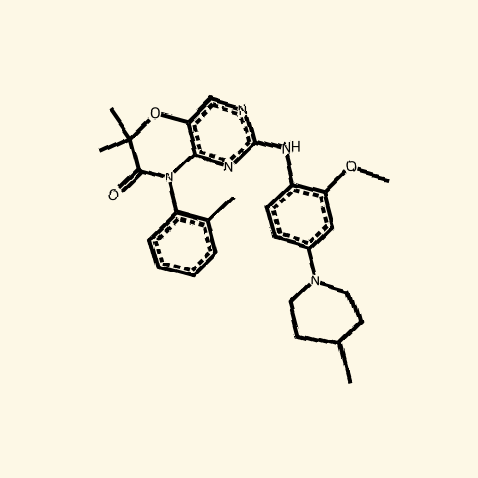 COc1cc(N2CCC(C)CC2)ccc1Nc1ncc2c(n1)N(c1ccccc1C)C(=O)C(C)(C)O2